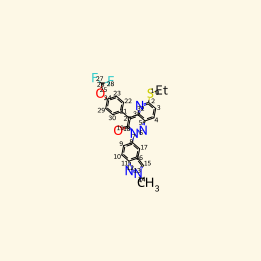 CCSc1ccc2nn(-c3ccc4nn(C)cc4c3)c(=O)c(-c3ccc(OC(F)F)cc3)c2n1